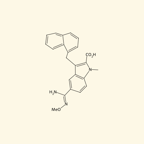 CO/N=C(\N)c1ccc2c(c1)c(Cc1cccc3ccccc13)c(C(=O)O)n2C